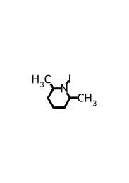 CC1CCCC(C)N1I